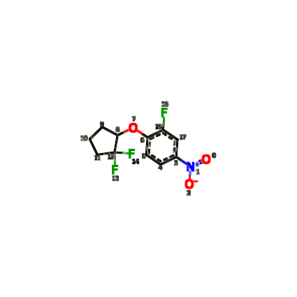 O=[N+]([O-])c1ccc(OC2CCCC2(F)F)c(F)c1